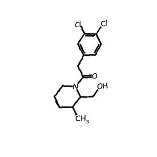 CC1CCCN(C(=O)Cc2ccc(Cl)c(Cl)c2)C1CO